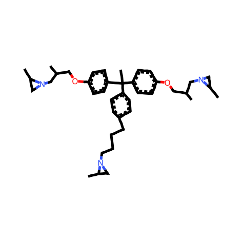 CC(COc1ccc(C(C)(c2ccc(CCCCN3CC3C)cc2)c2ccc(OCC(C)CN3CC3C)cc2)cc1)CN1CC1C